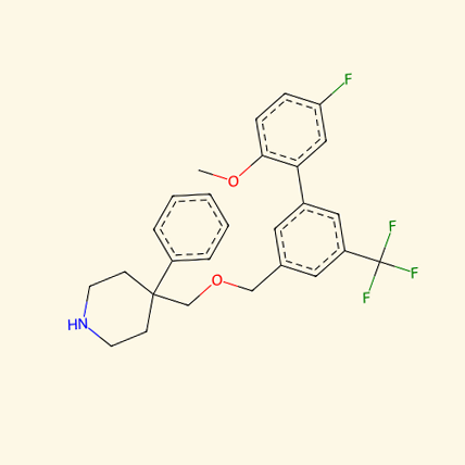 COc1ccc(F)cc1-c1cc(COCC2(c3ccccc3)CCNCC2)cc(C(F)(F)F)c1